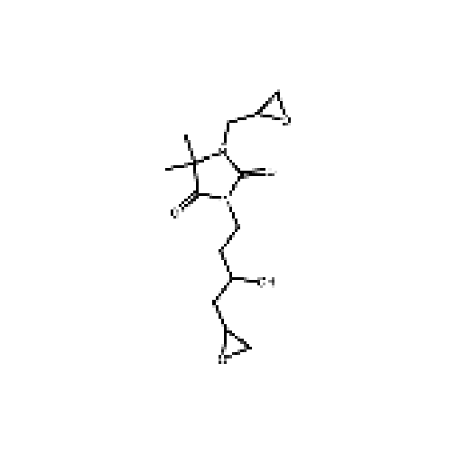 CC1(C)C(=O)N(CCC(O)CC2CO2)C(=O)N1CC1CO1